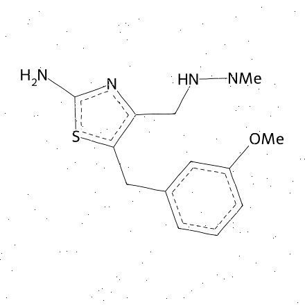 CNNCc1nc(N)sc1Cc1cccc(OC)c1